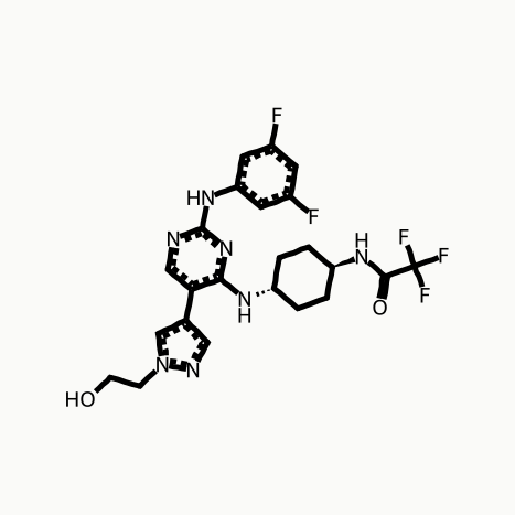 O=C(N[C@H]1CC[C@H](Nc2nc(Nc3cc(F)cc(F)c3)ncc2-c2cnn(CCO)c2)CC1)C(F)(F)F